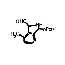 CCCCCC1NC(C=O)c2c(C)cccc21